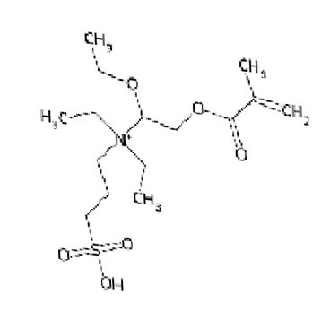 C=C(C)C(=O)OCC(OCC)[N+](CC)(CC)CCCS(=O)(=O)O